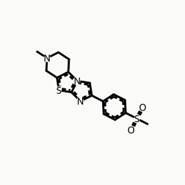 CN1CCc2c(sc3nc(-c4ccc(S(C)(=O)=O)cc4)cn23)C1